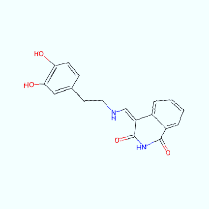 O=C1NC(=O)c2ccccc2C1=CNCCc1ccc(O)c(O)c1